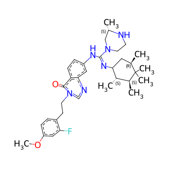 COc1ccc(CCn2cnc3cc(NC(=NC4C[C@@H](C)C(C)(C)[C@@H](C)[C@@H]4C)N4CCN[C@@H](C)C4)ccc3c2=O)c(F)c1